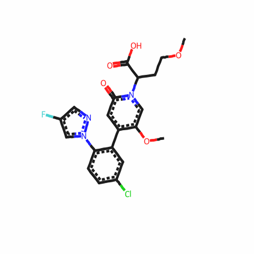 COCCC(C(=O)O)n1cc(OC)c(-c2cc(Cl)ccc2-n2cc(F)cn2)cc1=O